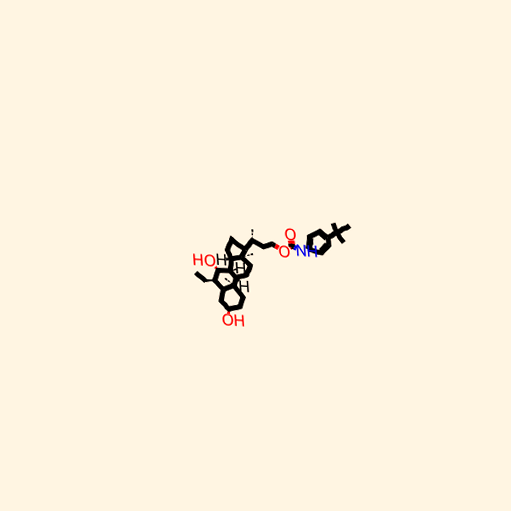 CC[C@@H]1C2C[C@H](O)CC[C@]2(C)[C@H]2CC[C@]3(C)C([C@H](C)CCOC(=O)Nc4ccc(C(C)(C)C)cc4)CC[C@H]3[C@@H]2[C@@H]1O